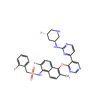 Cc1ccc2c(NS(=O)(=O)Cc3ccccc3F)c(F)ccc2c1Oc1ncncc1-c1ccnc(N[C@@H]2CNC[C@@H](F)C2)n1